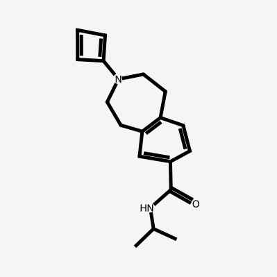 CC(C)NC(=O)c1ccc2c(c1)CCN(C1=CC=C1)CC2